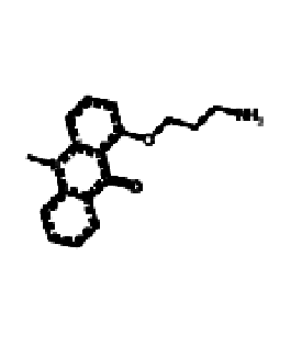 Cn1c2ccccc2c(=O)c2c(OCCCN)cccc21